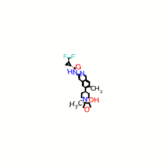 Cc1cc2cnc(NC(=O)[C@@H]3C[C@H]3C(F)F)cc2cc1C1CCN([C@]2(C)COC[C@@H]2O)CC1